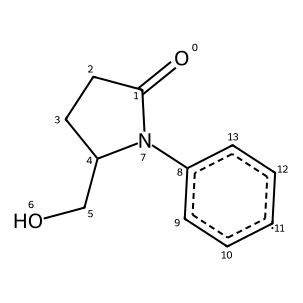 O=C1CCC(CO)N1c1cc[c]cc1